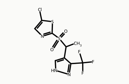 CC(c1c[nH]nc1C(F)(F)F)S(=O)(=O)c1ncc(Cl)s1